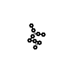 c1ccc(-c2ccc(N(c3ccc(-c4ccccc4)cc3)c3ccc(-c4ccccc4-c4ccc5c6ccccc6n(-c6ccccc6)c5c4)cc3)cc2)cc1